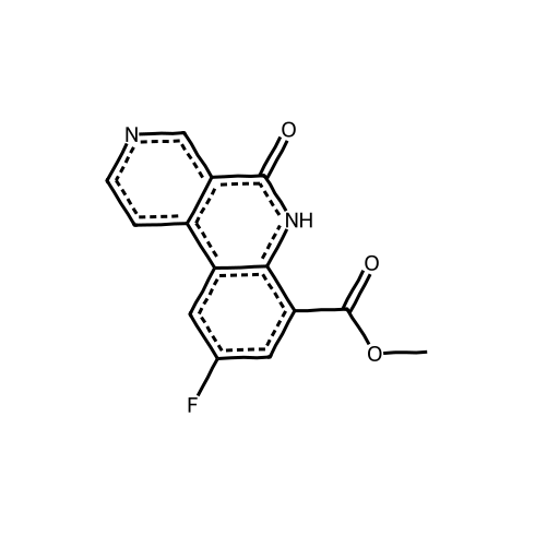 COC(=O)c1cc(F)cc2c1[nH]c(=O)c1cnccc12